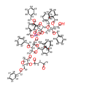 CC(=O)CCC(=O)O[C@H]1[C@@H](COCc2ccccc2)OC[C@H]1OCC(OCc1ccccc1)C(OCc1ccccc1)C(COP(=O)(OCc1ccccc1)O[C@H]1[C@@H](COCc2ccccc2)OC[C@H]1OCC(OCc1ccccc1)C(OCc1ccccc1)C(CO)OCc1ccccc1)OCc1ccccc1